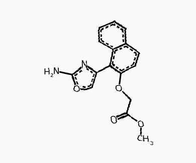 COC(=O)COc1ccc2ccccc2c1-c1coc(N)n1